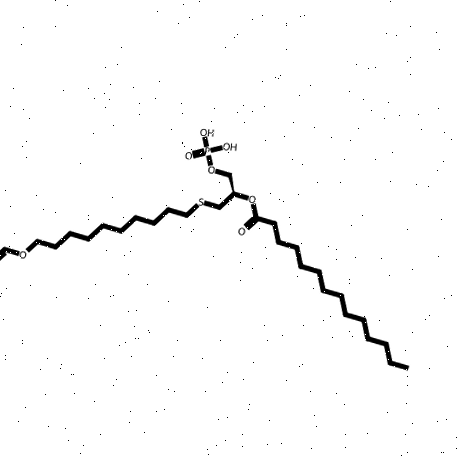 CCCCCCCCCCCCCC(=O)O[C@H](COP(=O)(O)O)CSCCCCCCCCCCOC=O